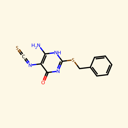 Nc1[nH]c(SCc2ccccc2)nc(=O)c1N=C=S